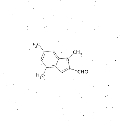 Cc1cc(C(F)(F)F)cc2c1cc(C=O)n2C